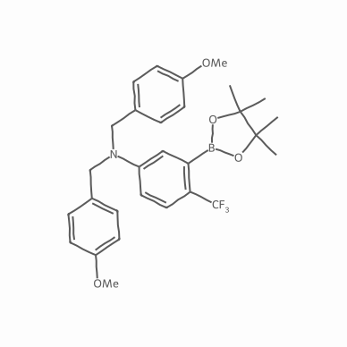 COc1ccc(CN(Cc2ccc(OC)cc2)c2ccc(C(F)(F)F)c(B3OC(C)(C)C(C)(C)O3)c2)cc1